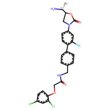 CC(=O)[C@@H](N)C1CN(c2ccc(-c3ccc(CNC(=O)COc4ccc(Cl)cc4Cl)cc3)c(F)c2)C(=O)O1